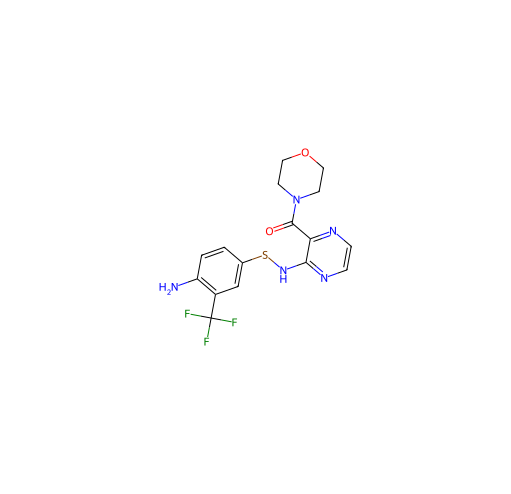 Nc1ccc(SNc2nccnc2C(=O)N2CCOCC2)cc1C(F)(F)F